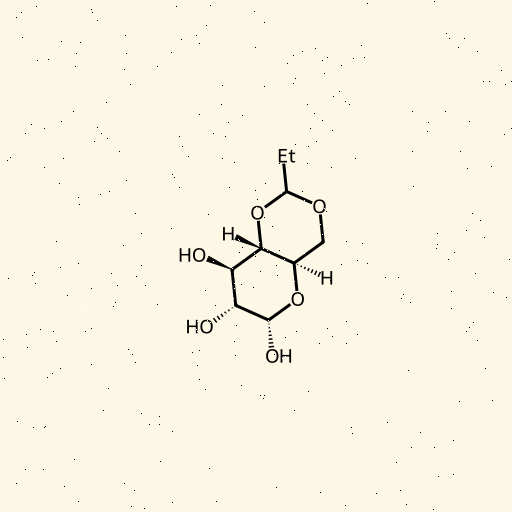 CCC1OC[C@H]2O[C@H](O)[C@H](O)[C@@H](O)[C@@H]2O1